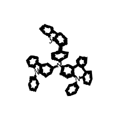 c1ccc(N2c3ccccc3-c3ccccc3-c3cc(N(c4ccc(-c5cccc6c5sc5ccccc56)cc4)c4ccc5c(c4)c4ccccc4n5-c4ccccc4)ccc32)cc1